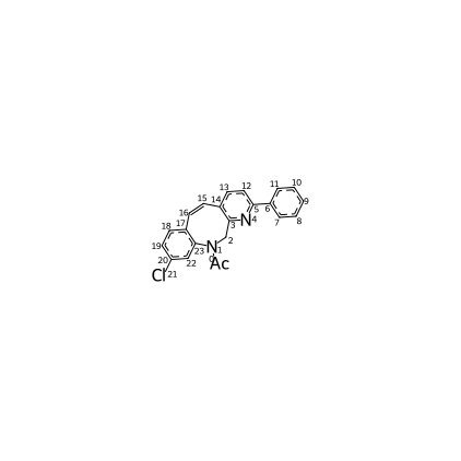 CC(=O)N1Cc2nc(-c3ccccc3)ccc2C=Cc2ccc(Cl)cc21